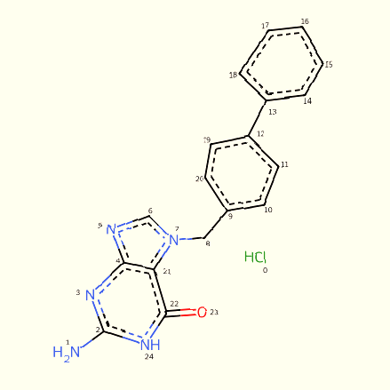 Cl.Nc1nc2ncn(Cc3ccc(-c4ccccc4)cc3)c2c(=O)[nH]1